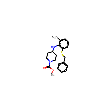 CC(C)(C)OC(=O)N1CCC(Nc2c(SCc3ccccc3)cccc2[N+](=O)[O-])CC1